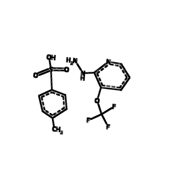 Cc1ccc(S(=O)(=O)O)cc1.NNc1ncccc1OC(F)(F)F